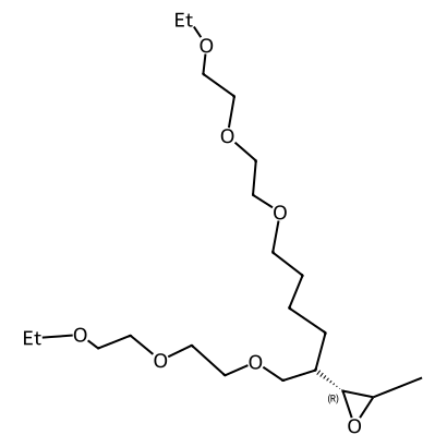 CCOCCOCCOCCCCC(COCCOCCOCC)[C@H]1OC1C